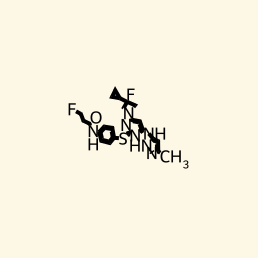 Cc1cc(Nc2cc(N3CC(F)(C4CC4)C3)nc(Sc3ccc(NC(=O)CCF)cc3)n2)[nH]n1